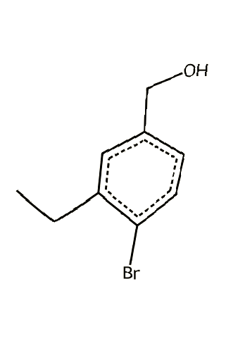 CCc1cc(CO)ccc1Br